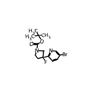 CC(C)(C)OC(=O)N1CCC(F)(c2ccc(Br)cn2)C1